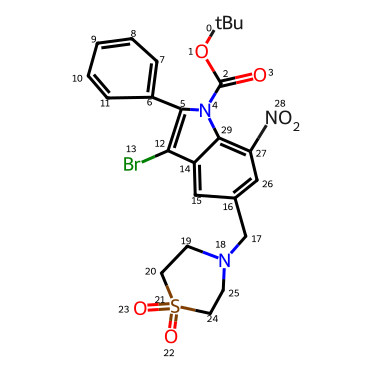 CC(C)(C)OC(=O)n1c(-c2ccccc2)c(Br)c2cc(CN3CCS(=O)(=O)CC3)cc([N+](=O)[O-])c21